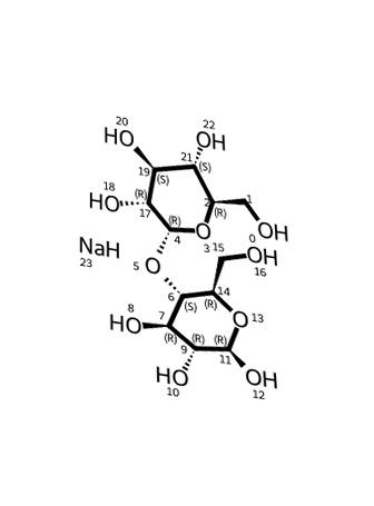 OC[C@H]1O[C@H](O[C@H]2[C@H](O)[C@@H](O)[C@H](O)O[C@@H]2CO)[C@H](O)[C@@H](O)[C@@H]1O.[NaH]